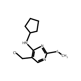 CSc1ncc(CCl)c(NC2CCCC2)n1